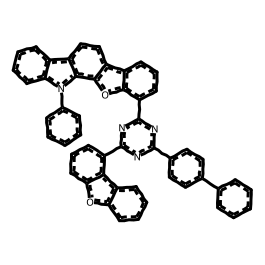 c1ccc(-c2ccc(-c3nc(-c4cccc5c4oc4c5ccc5c6ccccc6n(-c6ccccc6)c54)nc(-c4cccc5oc6ccccc6c45)n3)cc2)cc1